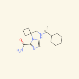 C[C@@H](NCC1(n2c[c]nc2C(N)=O)CCC1)C1CCCCC1